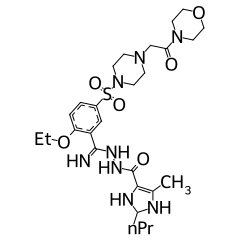 CCCC1NC(C)=C(C(=O)NNC(=N)c2cc(S(=O)(=O)N3CCN(CC(=O)N4CCOCC4)CC3)ccc2OCC)N1